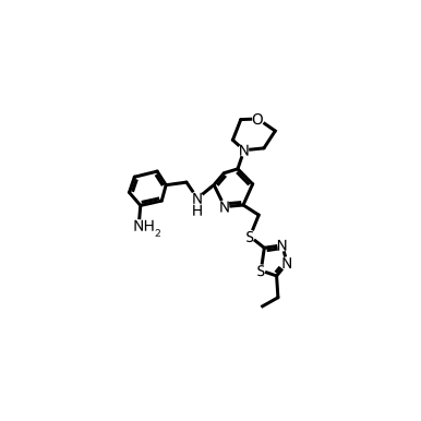 CCc1nnc(SCc2cc(N3CCOCC3)cc(NCc3cccc(N)c3)n2)s1